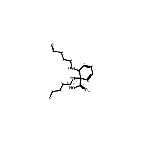 CCCCCNC1C=CC=CC1(NCCCCC)C(=O)O